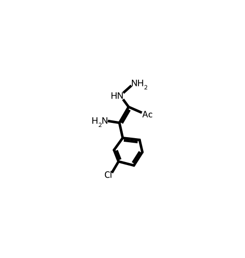 CC(=O)/C(NN)=C(/N)c1cccc(Cl)c1